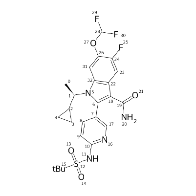 C[C@H](C1CC1)n1c(-c2ccc(NS(=O)(=O)C(C)(C)C)nc2)c(C(N)=O)c2cc(F)c(OC(F)F)cc21